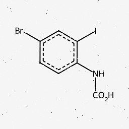 O=C(O)Nc1ccc(Br)cc1I